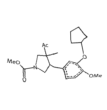 COC(=O)N1CC(c2ccc(OC)c(OC3CCCC3)c2)C(C)(C(C)=O)C1